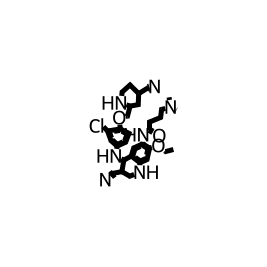 CCOc1cc2c(cc1NC(=O)CCCN(C)C)C(Nc1ccc(OCC3CC(C#N)CCN3)c(Cl)c1)C(C#N)CN2